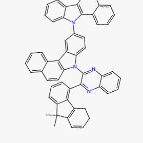 CC1(C)C2=C(CCC=C2)c2c(-c3nc4ccccc4nc3-n3c4ccc(-n5c6ccccc6c6ccc7ccccc7c65)cc4c4c5ccccc5ccc43)cccc21